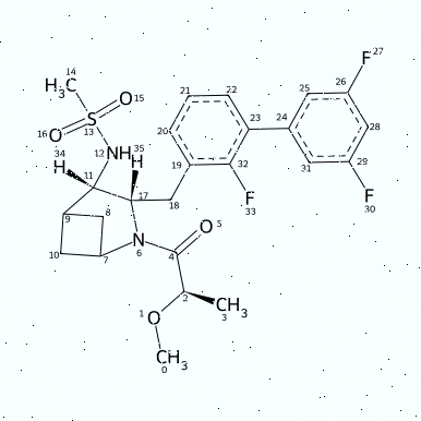 CO[C@H](C)C(=O)N1C2CC(C2)[C@H](NS(C)(=O)=O)[C@@H]1Cc1cccc(-c2cc(F)cc(F)c2)c1F